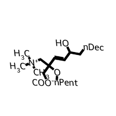 CCCCCCCCCCCC(O)C=CC(CC(=O)[O-])(C[N+](C)(C)C)OCCCCC